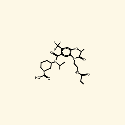 CCC(=O)NCCN1C(=O)[C@H](C)Oc2cc(C(F)(F)F)c(C(=O)N(C(C)C)[C@@H]3CCCN(C(=O)O)C3)cc21